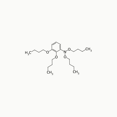 CCCCOc1cccc(N(OCCCC)OCCCC)c1OCCCC